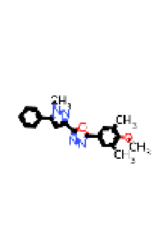 COc1c(C)cc(-c2nnc(-c3cc(-c4ccccc4)n(C)n3)o2)cc1C